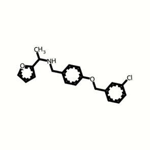 CC(NCc1ccc(OCc2cccc(Cl)c2)cc1)c1ccco1